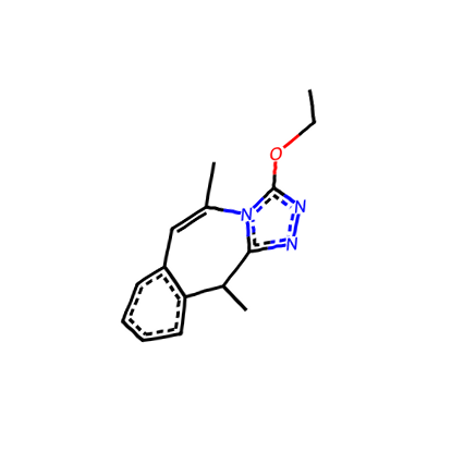 CCOc1nnc2n1C(C)=Cc1ccccc1C2C